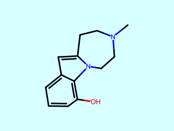 CN1CCc2cc3cccc(O)c3n2CC1